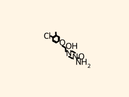 Cc1cc(OCC(O)CN2CCN(C(N)=O)CC2)ccc1Cl